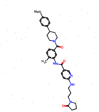 COc1ccc(C2CCN(C(=O)c3ccc(C)c(NC(=O)c4ccc(NCCCN5CCCC5=O)nc4)c3)CC2)cc1